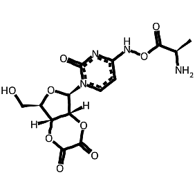 C[C@@H](N)C(=O)ONc1ccn([C@@H]2O[C@H](CO)[C@H]3OC(=O)C(=O)O[C@H]32)c(=O)n1